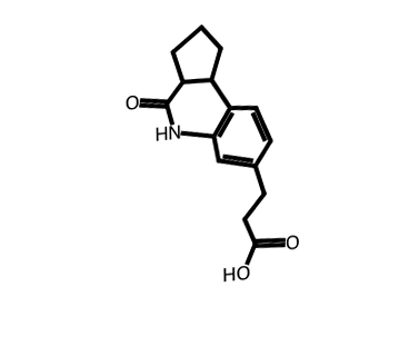 O=C(O)CCc1ccc2c(c1)NC(=O)C1CCCC21